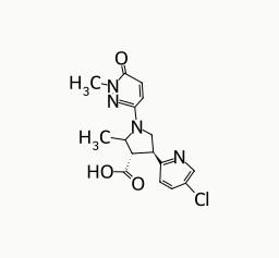 CC1[C@@H](C(=O)O)[C@H](c2ccc(Cl)cn2)CN1c1ccc(=O)n(C)n1